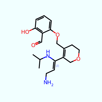 CC(C)N/C(=C\CN)C1=C(COc2cccc(O)c2C=O)CCOC1